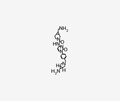 NCC1C2CCN(C(=O)Nc3ccn(-c4ccc(CN5C[C@@H]6[C@@H](N)[C@@H]6C5)cc4)c(=O)n3)CC12